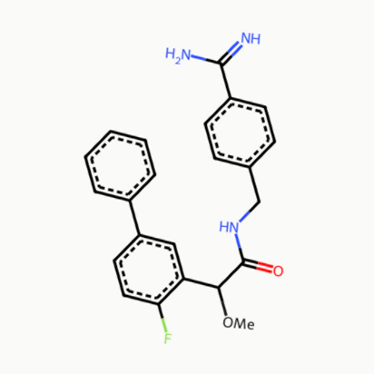 COC(C(=O)NCc1ccc(C(=N)N)cc1)c1cc(-c2ccccc2)ccc1F